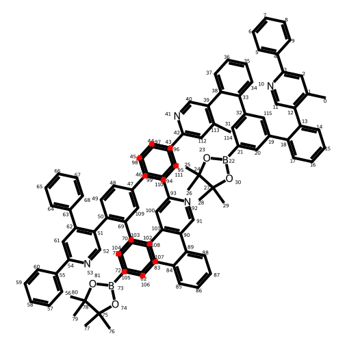 Cc1cc(-c2ccccc2)ncc1-c1ccccc1-c1cc(B2OC(C)(C)C(C)(C)O2)cc(-c2ccccc2-c2cnc(-c3ccc(-c4ccc(-c5cnc(-c6ccccc6)cc5-c5ccccc5)c(-c5cc(B6OC(C)(C)C(C)(C)O6)cc(-c6ccccc6-c6cnc(-c7ccccc7)cc6-c6ccccc6)c5)c4)cc3)cc2C)c1